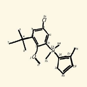 COc1c(C(C)(C)C)cc(Cl)cc1[Si](C)(C)C1=C(C)C=CC1